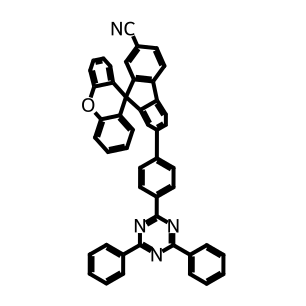 N#Cc1ccc2c(c1)C1(c3ccccc3Oc3ccccc31)c1cc(-c3ccc(-c4nc(-c5ccccc5)nc(-c5ccccc5)n4)cc3)ccc1-2